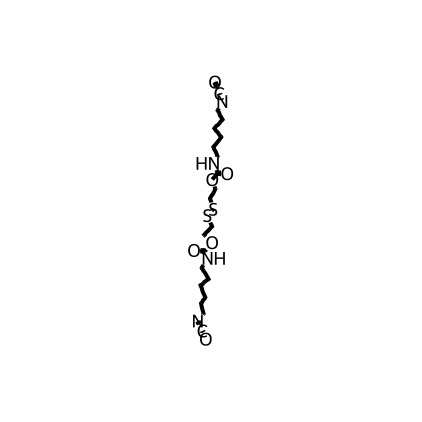 O=C=NCCCCCCNC(=O)OCCSSCCOC(=O)NCCCCCCN=C=O